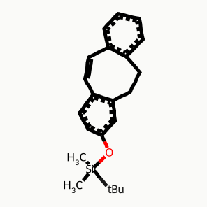 CC(C)(C)[Si](C)(C)Oc1ccc2c(c1)CCc1ccccc1/C=C\2